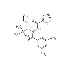 CCCC(N(NC(=O)c1cccs1)C(=O)c1cc(C)cc(C)c1)C(C)(C)C